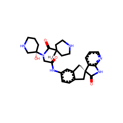 CC1(C(=O)N(CC(=O)Nc2ccc3c(c2)C[C@@]2(C3)C(=O)Nc3ncccc32)[C@]2(O)CCCNC2)CCNCC1